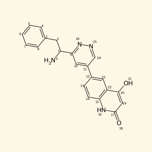 NC(Cc1ccccc1)c1cc(-c2ccc3[nH]c(=O)cc(O)c3c2)cnn1